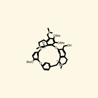 COc1ccc2cc1Oc1ccc(cc1)C[C@H]1c3cc(c(CO)cc3CCN1C)Oc1c(OC)c(OC)c(CN(C)C)c3c1[C@H](C2)N(C)CC3